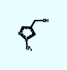 OCc1cnn(C(F)(F)F)c1